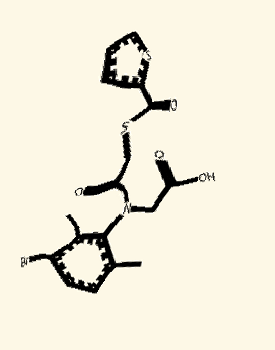 Cc1ccc(Br)c(C)c1N(CC(=O)O)C(=O)CSC(=O)c1cccs1